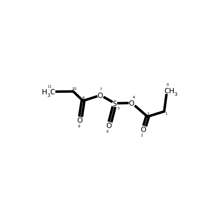 CCC(=O)OS(=O)OC(=O)CC